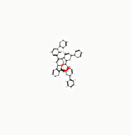 C1=CCC(C2C=C(N3C4C=CCCC4C4C=CC=C(C5=CC6C7=C(CCC=C7)N(C7=CC=CC(c8ccccc8)C7)C6CC5)C43)CC(C3C=CC=CC3)C2)C=C1